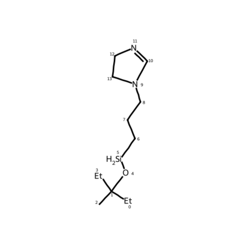 CCC(C)(CC)O[SiH2]CCCN1C=NCC1